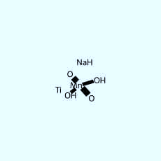 [NaH].[O]=[Mn](=[O])([OH])[OH].[Ti]